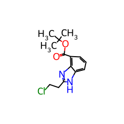 CC(C)(C)OC(=O)c1cccc2[nH]c(CCCl)nc12